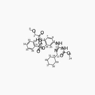 COCC(=O)Nc1ccc(NC(=NCC2CCCCC2)NC(=O)OC)cc1OS(=O)(=O)c1ccccc1